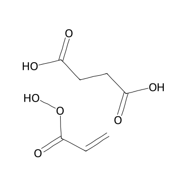 C=CC(=O)OO.O=C(O)CCC(=O)O